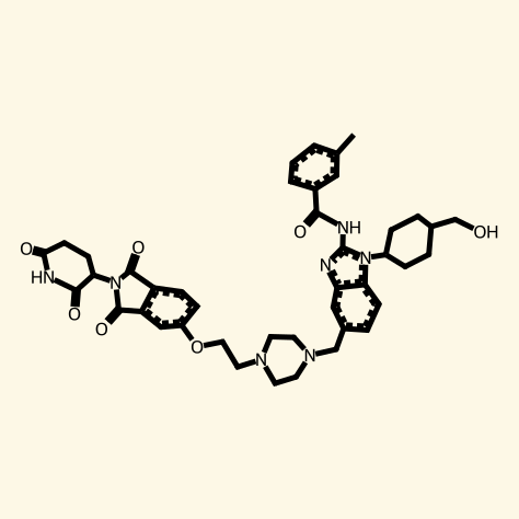 Cc1cccc(C(=O)Nc2nc3cc(CN4CCN(CCOc5ccc6c(c5)C(=O)N(C5CCC(=O)NC5=O)C6=O)CC4)ccc3n2C2CCC(CO)CC2)c1